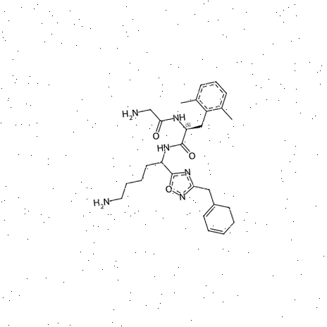 Cc1cccc(C)c1C[C@H](NC(=O)CN)C(=O)NC(CCCCN)c1nc(CC2=CC=CCC2)no1